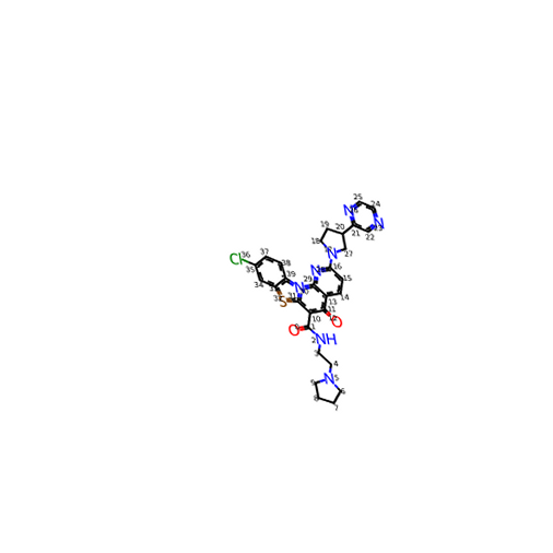 O=C(NCCN1CCCC1)c1c(=O)c2ccc(N3CCC(c4cnccn4)C3)nc2n2c1sc1cc(Cl)ccc12